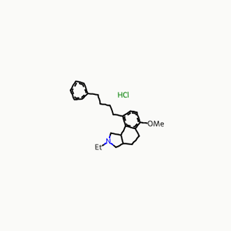 CCN1CC2CCc3c(OC)ccc(CCCCc4ccccc4)c3C2C1.Cl